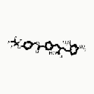 Nc1ccc(CCC(=Cc2ccc(C(=O)Oc3ccc(OC(F)(F)C(F)F)cc3)cc2)C(=O)O)c(N)c1